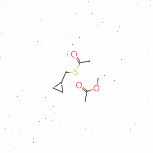 CC(=O)SCC1CC1.COC(C)=O